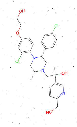 C[C@@H]1CN(c2ccc(OCCO)cc2Cl)[C@H](c2ccc(Cl)cc2)CN1C[C@@](C)(O)c1ccc(CO)nc1